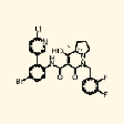 C[C@]12CCCN1N(Cc1cccc(F)c1F)C(=O)C(C(=O)Nc1ccc(Br)cc1-c1ccc(Cl)nc1)=C2O